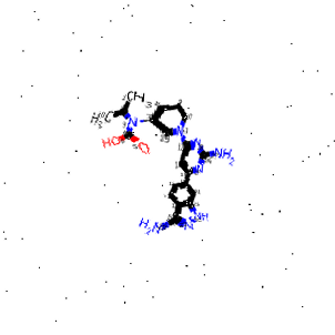 CC(C)N(C(=O)O)[C@@H]1CCCN(c2cc(-c3ccc4c(N)n[nH]c4c3)nc(N)n2)C1